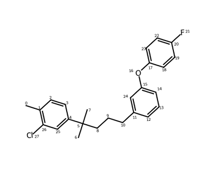 Cc1ccc(C(C)(C)CCCc2cccc(Oc3ccc(F)cc3)c2)cc1Cl